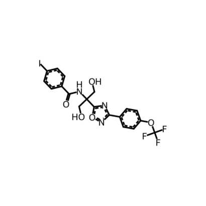 O=C(NC(CO)(CO)c1nc(-c2ccc(OC(F)(F)F)cc2)no1)c1ccc(I)cc1